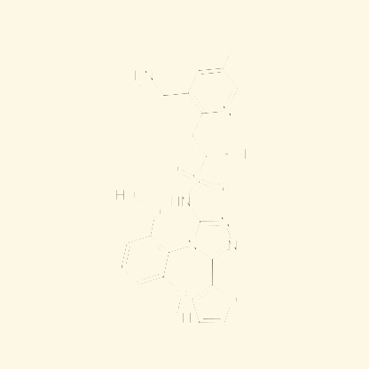 COc1cccc(OC)c1-n1c(NS(=O)(=O)[C@@H](C)Cc2ncc(Cl)cc2CN)nnc1-c1ccco1